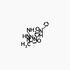 Cc1nc(NCCN)nc2c1ccc(=O)n2-c1ccc(C(=O)NCCc2ccccc2)cc1